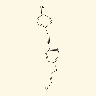 CC=CCc1cnc(C#Cc2ccc(C#N)cc2)nc1